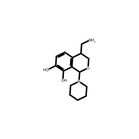 NCC1COC(N2CCCCC2)c2c1ccc(O)c2O